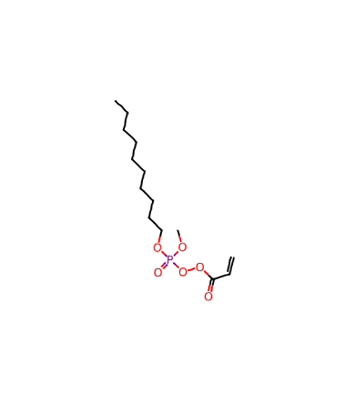 C=CC(=O)OOP(=O)(OC)OCCCCCCCCCC